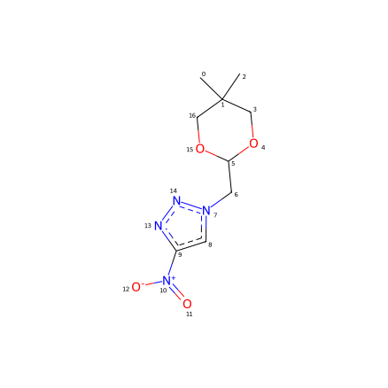 CC1(C)COC(Cn2cc([N+](=O)[O-])nn2)OC1